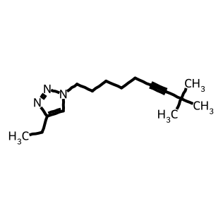 CCc1cn(CCCCCC#CC(C)(C)C)nn1